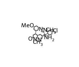 COc1cccc(-c2cc(=O)n(C)c3ncc([C@@](N)(c4ccc(Cl)cc4)c4cncn4C)cc23)c1